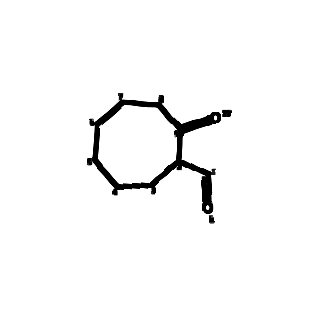 O=CC1CCCCCCC1=O